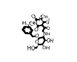 CN1C(=O)C(C(=O)CN[C@@H]2[C@@H](OCc3ccccc3)O[C@H](CO)[C@@H](O)[C@@H]2O)C(=O)N(C)C1=O